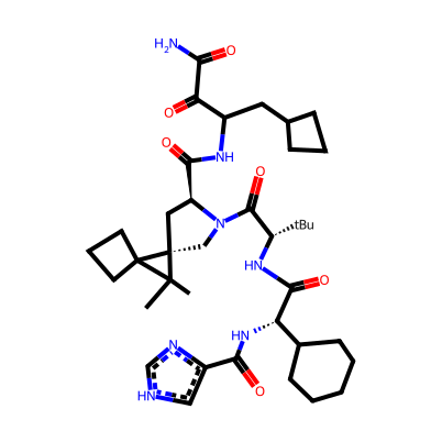 CC(C)(C)[C@H](NC(=O)[C@@H](NC(=O)c1c[nH]cn1)C1CCCCC1)C(=O)N1C[C@]2(C[C@H]1C(=O)NC(CC1CCC1)C(=O)C(N)=O)C(C)(C)C21CCC1